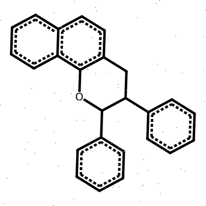 c1ccc(C2Cc3ccc4ccccc4c3OC2c2ccccc2)cc1